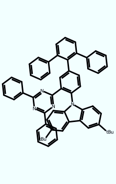 CC(C)(C)c1ccc2c(c1)c1cc(C(C)(C)C)ccc1n2-c1ccc(-c2c(-c3ccccc3)cccc2-c2ccccc2)cc1-c1nc(-c2ccccc2)nc(-c2ccccc2)n1